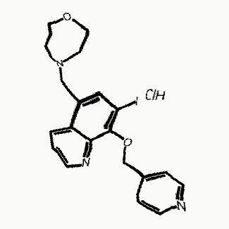 Cl.Ic1cc(CN2CCOCC2)c2cccnc2c1OCc1ccncc1